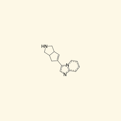 C1=C(c2cnc3ccccn23)CC2CNCC12